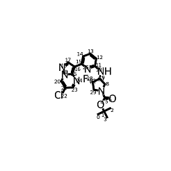 CC(C)(C)OC(=O)N1C[C@H](Nc2cccc(-c3cnn4cc(Cl)cnc34)n2)[C@@H](F)C1